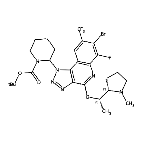 C[C@H](Oc1nc2c(F)c(Br)c(C(F)(F)F)cc2c2c1nnn2C1CCCCN1C(=O)OC(C)(C)C)[C@@H]1CCCN1C